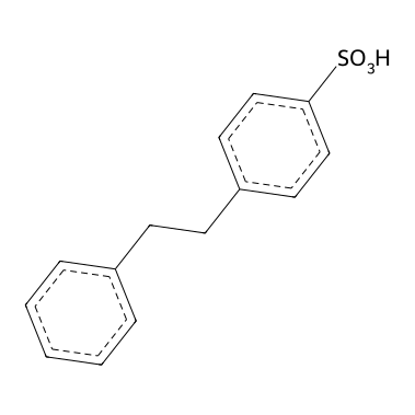 O=S(=O)(O)c1ccc(CCc2ccccc2)cc1